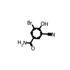 N#Cc1cc(C(N)=O)cc(Br)c1O